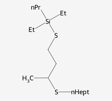 CCCCCCCSC(C)CCS[Si](CC)(CC)CCC